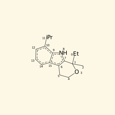 CCC1(C)OCCc2c1[nH]c1c(C(C)C)cccc21